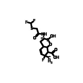 CC1(F)C=CC2C[C@H](NC(=O)CSC(F)F)B(O)OC2C1C(=O)O